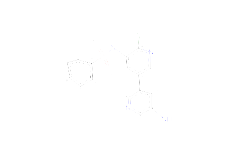 Nc1cncc(-c2cnc(Cl)c(NS(=O)(=O)c3ccccc3)c2)c1